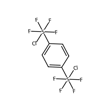 FS(F)(F)(F)(Cl)c1ccc(S(F)(F)(F)(F)Cl)cc1